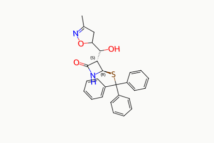 CC1=NOC(C(O)[C@H]2C(=O)N[C@@H]2SC(c2ccccc2)(c2ccccc2)c2ccccc2)C1